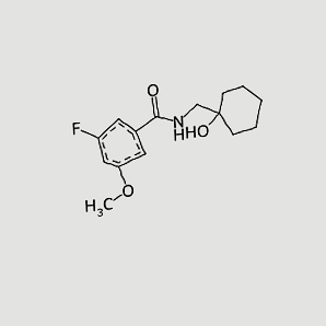 COc1cc(F)cc(C(=O)NCC2(O)CCCCC2)c1